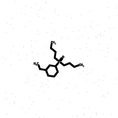 CCCCP(=O)(CCCC)C1CCCC(CC)C1